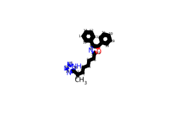 CC(CCCCCc1nc(-c2ccccc2)c(-c2ccccc2)o1)c1nnn[nH]1